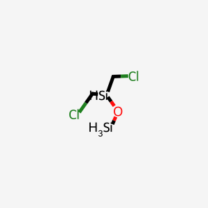 [SiH3]O[SiH](CCl)CCl